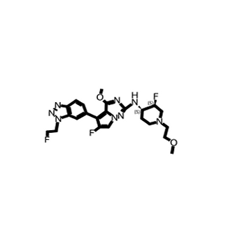 COCCN1CC[C@H](Nc2nc(OC)c3c(-c4ccc5nnn(CCF)c5c4)c(F)cn3n2)[C@@H](F)C1